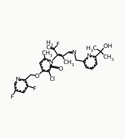 C=C(F)/C(=C(C)\C=N/Cc1cccc(C(C)(C)O)n1)n1c(C)cc(OCc2ncc(F)cc2F)c(Cl)c1=O